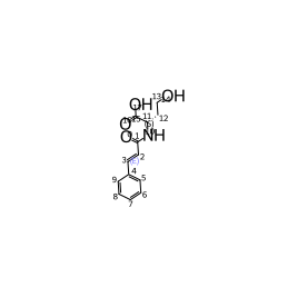 O=C(/C=C/c1ccccc1)N[C@@H](CCO)C(=O)O